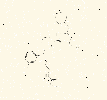 CNCC(O)C(CC1CCCCC1)NC(=O)N1CCO[C@@H]([C@@H](OCCNC(=O)OC)c2cccc(F)c2)C1